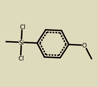 COc1ccc([Si](C)(Cl)Cl)cc1